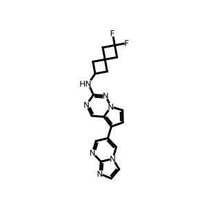 FC1(F)CC2(CC(Nc3ncc4c(-c5cnc6nccn6c5)ccn4n3)C2)C1